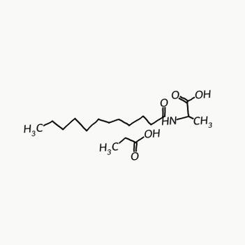 CCC(=O)O.CCCCCCCCCCCC(=O)NC(C)C(=O)O